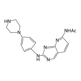 CC(=O)Nc1ccc2cnc(Nc3ccc(N4CCNCC4)cc3)nc2n1